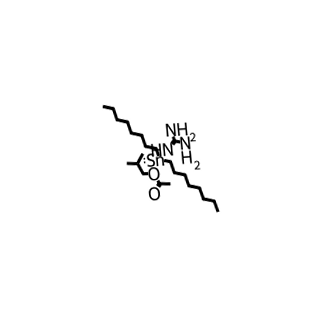 CC(=O)OCC(C)C.CCCCCCC[CH2][Sn][CH2]CCCCCCC.N=C(N)N